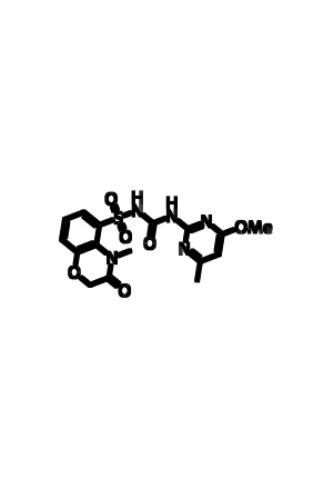 COc1cc(C)nc(NC(=O)NS(=O)(=O)c2cccc3c2N(C)C(=O)CO3)n1